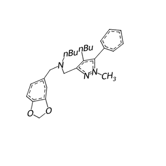 CCCCc1c(CN(CCCC)Cc2ccc3c(c2)OCO3)nn(C)c1-c1ccccc1